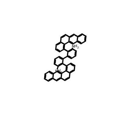 Nc1cccc(-c2cccc(N)c2-c2cccc3ccc4cc5ccccc5cc4c23)c1-c1cccc2ccc3cc4ccccc4cc3c12